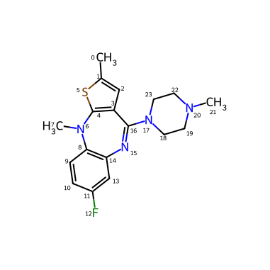 Cc1cc2c(s1)N(C)c1ccc(F)cc1N=C2N1CCN(C)CC1